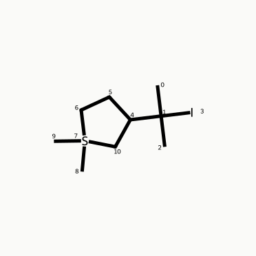 CC(C)(I)C1CCS(C)(C)C1